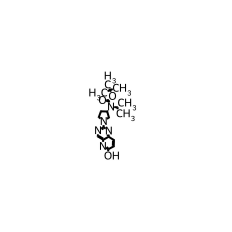 CC(C)N(C(=O)OC(C)(C)C)[C@H]1CCN(c2ncc3nc(O)ccc3n2)C1